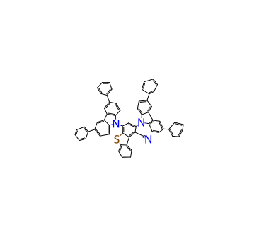 N#Cc1c(-n2c3ccc(-c4ccccc4)cc3c3cc(-c4ccccc4)ccc32)cc(-n2c3ccc(-c4ccccc4)cc3c3cc(-c4ccccc4)ccc32)c2sc3ccccc3c12